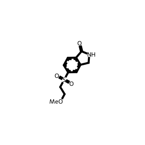 COCCS(=O)(=O)c1ccc2c(c1)CNC2=O